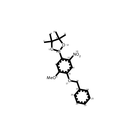 COc1cc(B2OC(C)(C)C(C)(C)O2)c([N+](=O)[O-])cc1OCc1ccccc1